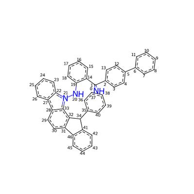 N=C(c1ccc(-c2ccccc2)cc1)c1ccccc1Nn1c2ccccc2c2ccc3c(c21)C(c1ccccc1)c1ccccc1-3